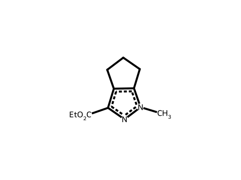 CCOC(=O)c1nn(C)c2c1CCC2